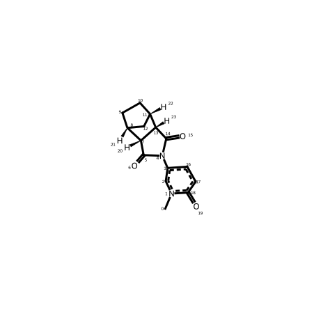 Cn1cc(N2C(=O)[C@@H]3[C@@H]4CC[C@@H](C4)[C@@H]3C2=O)ccc1=O